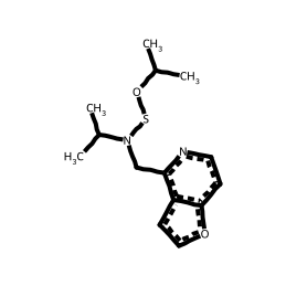 CC(C)OSN(Cc1nccc2occc12)C(C)C